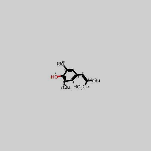 [CH2]CCCC(=Cc1cc(C(C)(C)C)c(O)c(C(C)(C)C)c1)C(=O)O